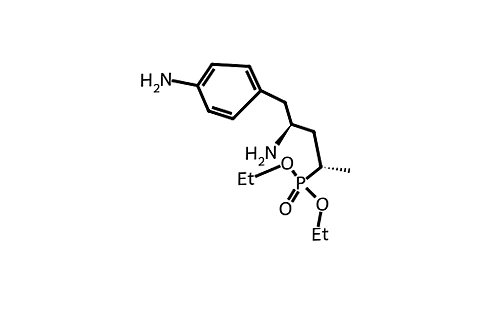 CCOP(=O)(OCC)[C@@H](C)C[C@@H](N)Cc1ccc(N)cc1